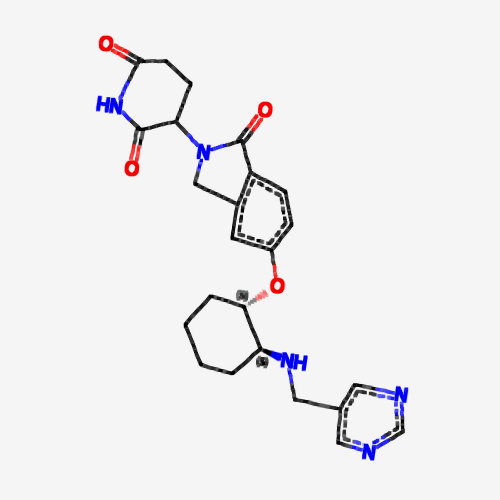 O=C1CCC(N2Cc3cc(O[C@H]4CCCC[C@@H]4NCc4cncnc4)ccc3C2=O)C(=O)N1